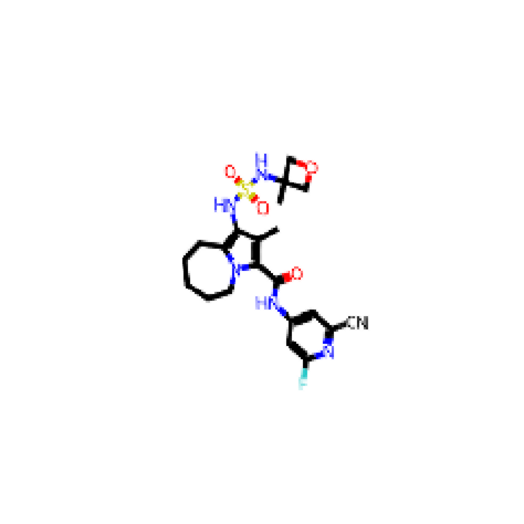 Cc1c(NS(=O)(=O)NC2(C)COC2)c2n(c1C(=O)Nc1cc(F)nc(C#N)c1)CCCCC2